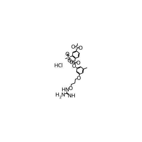 Cc1cc(OCCCONC(=N)N)cc(OS(=O)(=O)c2ccc(S(C)(=O)=O)cc2S(C)(=O)=O)c1.Cl